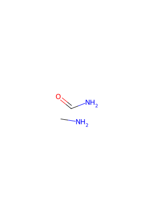 CN.NC=O